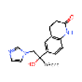 CCCCCC(O)(Cn1ccnc1)c1ccc2c(c1)CCC(=O)N2